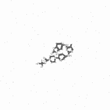 Cc1cnc(Nc2ccc(N3CCN(C(=O)OC(F)(F)F)CC3)nc2)nc1Nc1ccc2oc(=O)[nH]c2c1